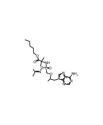 CCCCCOC(=O)C(C)(C)NP(=O)(COC(C)Cn1cnc2c(N)ncnc21)ON=C(C)C